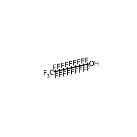 OC(F)(F)C(F)(F)C(F)(F)C(F)(F)C(F)(F)C(F)(F)C(F)(F)C(F)(F)C(F)(F)C(F)(F)F